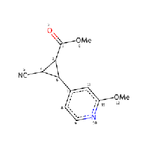 COC(=O)C1C(C#N)C1c1ccnc(OC)c1